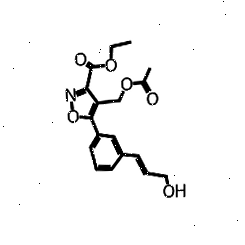 CCOC(=O)c1noc(-c2cccc(C=CCO)c2)c1COC(C)=O